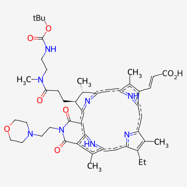 CCC1=C(C)c2cc3[nH]c(cc4nc(c5c6[nH]c(cc1n2)c(C)c6C(=O)N(CCN1CCOCC1)C5=O)[C@@H](CCC(=O)N(C)CCNC(=O)OC(C)(C)C)[C@@H]4C)c(C)c3/C=C/C(=O)O